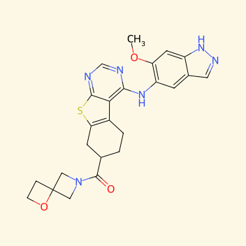 COc1cc2[nH]ncc2cc1Nc1ncnc2sc3c(c12)CCC(C(=O)N1CC2(CCO2)C1)C3